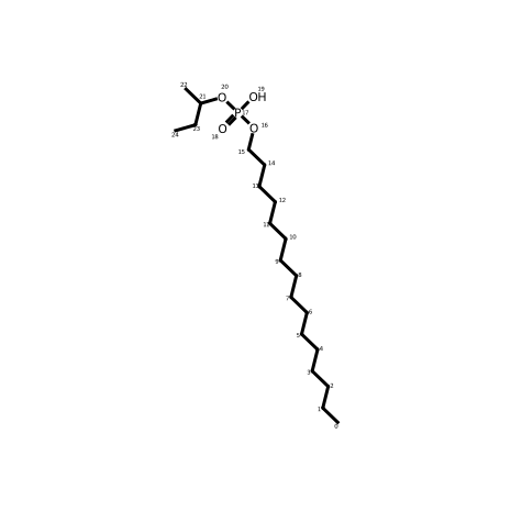 CCCCCCCCCCCCCCCCOP(=O)(O)OC(C)CC